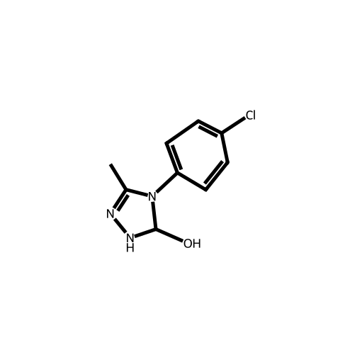 CC1=NNC(O)N1c1ccc(Cl)cc1